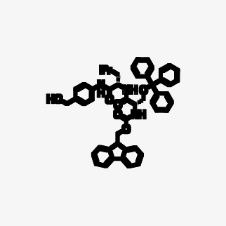 CC(C)C[C@H](NC(=O)[C@H](COC(c1ccccc1)(c1ccccc1)c1ccccc1)NC(=O)OCC1c2ccccc2-c2ccccc21)C(=O)Nc1ccc(CO)cc1